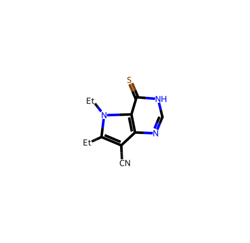 CCc1c(C#N)c2nc[nH]c(=S)c2n1CC